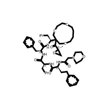 CC(C)C[C@H](NC(=O)[C@H](CCc1ccccc1)NC(=O)CN1CCOCC1)C(=O)N[C@@H](Cc1ccccc1)C(=O)N[C@@H](CC(C)C)C1(C(=O)[C@@]2(C)CO2)CCCCCCCCCCC1